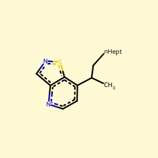 CCCCCCCCC(C)c1ccnc2cnsc12